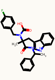 CC(NC(=O)C(C)(Cc1c[nH]c2ccccc12)N(Cc1ccc(F)cc1)C(=O)O)c1ccccc1